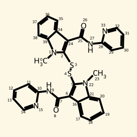 Cn1c(SSc2c(C(=O)Nc3ccccn3)c3ccccc3n2C)c(C(=O)Nc2ccccn2)c2ccccc21